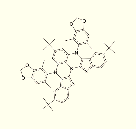 Cc1cc2c(c(C)c1N1c3cc(C(C)(C)C)cc4c3B(c3sc5ccc(C(C)(C)C)cc5c31)c1sc3ccc(C(C)(C)C)cc3c1N4c1c(C)cc3c(c1C)OCO3)OCO2